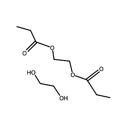 CCC(=O)OCCOC(=O)CC.OCCO